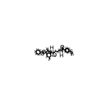 CC1CC2CC(NC(=O)CCCNC(=O)c3ccc(SF)cc3)(C1)CC(C)C2OOC1CCCCC1